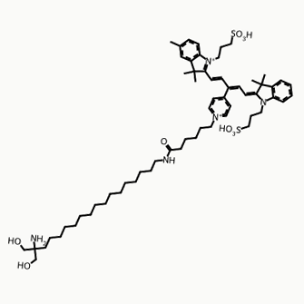 Cc1ccc2c(c1)C(C)(C)C(/C=C/C(=C/C=C1/N(CCCS(=O)(=O)O)c3ccccc3C1(C)C)c1cc[n+](CCCCCC(=O)NCCCCCCCCCCCCCCCCC(N)(CO)CO)cc1)=[N+]2CCCS(=O)(=O)O